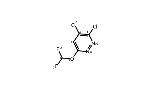 FC(F)Oc1cc(Cl)c(Cl)nn1